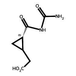 NC(=O)NC(=O)[C@H]1CC1CC(=O)O